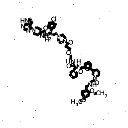 CCOc1cc(OC)ccc1CNCC(=O)N1CCCC(c2cccc(C(=O)N[C@@H](C(=O)NCCOCCC(=O)N3CCN(CC[C@H](NC(=O)C4(N)CCN(c5ncnc6[nH]ccc56)CC4)c4ccc(Cl)cc4)CC3)C3CCCCC3)c2)C1